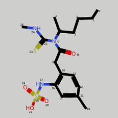 CCCCC(C)N(C(=O)Cc1ccc(C)cc1NS(=O)(=O)O)C(=S)NC